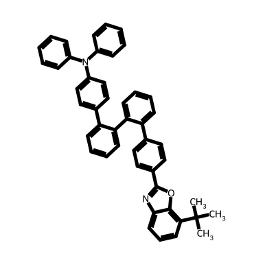 CC(C)(C)c1cccc2nc(-c3ccc(-c4ccccc4-c4ccccc4-c4ccc(N(c5ccccc5)c5ccccc5)cc4)cc3)oc12